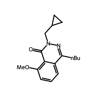 CCCCc1nn(CC2CC2)c(=O)c2c(OC)cccc12